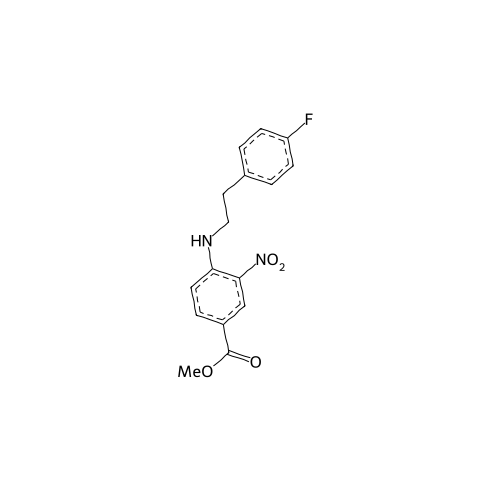 COC(=O)c1ccc(NCCc2ccc(F)cc2)c([N+](=O)[O-])c1